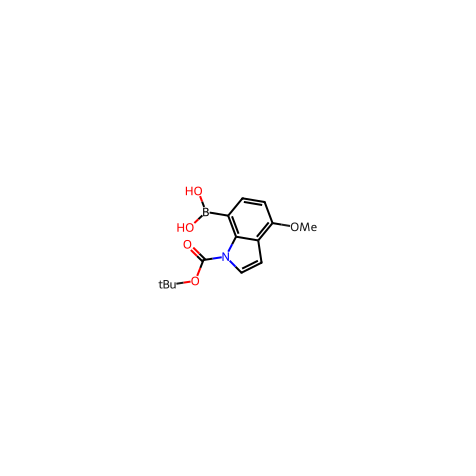 COc1ccc(B(O)O)c2c1ccn2C(=O)OC(C)(C)C